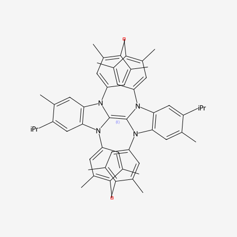 Cc1cc2c(cc1C(C)C)N(c1cc(C)c(C)c(C)c1)/C(=C1\N(c3cc(C)c(C)c(C)c3)c3cc(C)c(C(C)C)cc3N1c1cc(C)c(C)c(C)c1)N2c1cc(C)c(C)c(C)c1